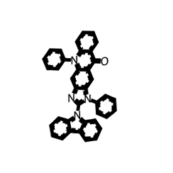 O=c1c2ccccc2n(-c2ccccc2)c2cc3nc(-n4c5ccccc5c5ccccc54)n(-c4ccccc4)c3cc12